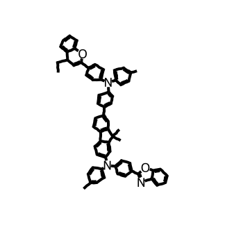 CCC1C=C(c2ccc(N(c3ccc(C)cc3)c3ccc(-c4ccc5c(c4)C(C)(C)c4cc(N(c6ccc(C)cc6)c6ccc(-c7nc8ccccc8o7)cc6)ccc4-5)cc3)cc2)Oc2ccccc21